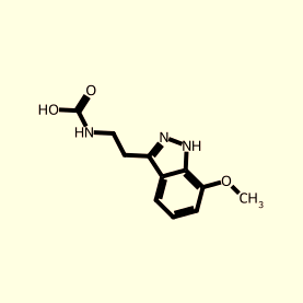 COc1cccc2c(CCNC(=O)O)n[nH]c12